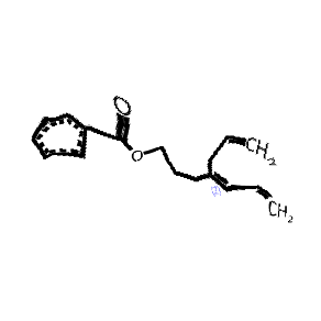 C=C/C=C(\C=C)CCOC(=O)c1ccccc1